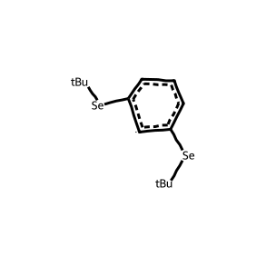 CC(C)(C)[Se]c1[c]c([Se]C(C)(C)C)ccc1